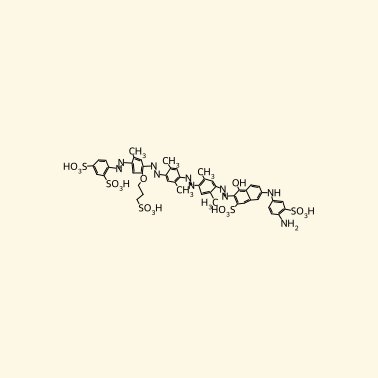 Cc1cc(N=Nc2cc(C)c(N=Nc3ccc(S(=O)(=O)O)cc3S(=O)(=O)O)cc2OCCCS(=O)(=O)O)c(C)cc1N=Nc1cc(C)c(N=Nc2c(S(=O)(=O)O)cc3cc(Nc4ccc(N)c(S(=O)(=O)O)c4)ccc3c2O)cc1C